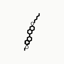 CCCCCCOC1CCC2CC(C3CCc4cc(OCC)ccc4C3)CCC2C1